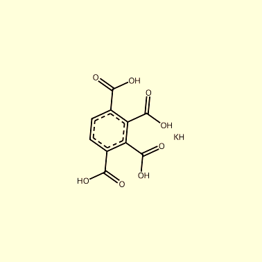 O=C(O)c1ccc(C(=O)O)c(C(=O)O)c1C(=O)O.[KH]